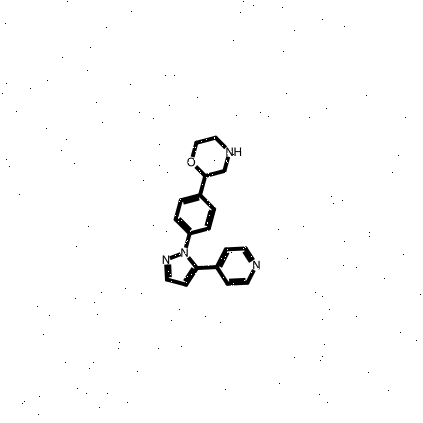 c1cc(-c2ccnn2-c2ccc(C3CNCCO3)cc2)ccn1